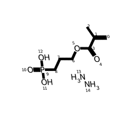 C=C(C)C(=O)OCCCP(=O)(O)O.N.N